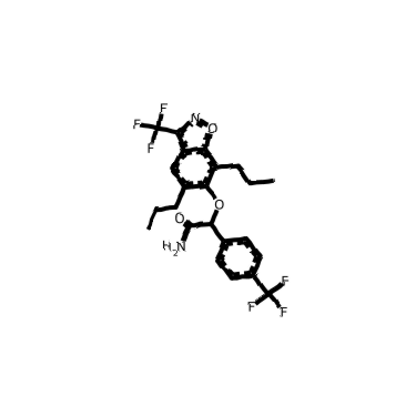 CCCc1cc2c(C(F)(F)F)noc2c(CCC)c1OC(C(N)=O)c1ccc(C(F)(F)F)cc1